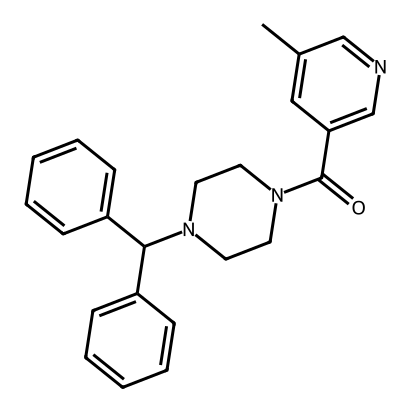 Cc1cncc(C(=O)N2CCN(C(c3ccccc3)c3ccccc3)CC2)c1